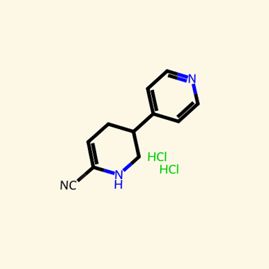 Cl.Cl.N#CC1=CCC(c2ccncc2)CN1